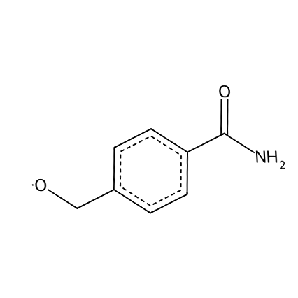 NC(=O)c1ccc(C[O])cc1